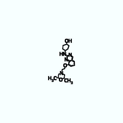 CC1CN(CCOc2cccc3cnc(NC4CCC(O)CC4)nc23)CC(C)O1